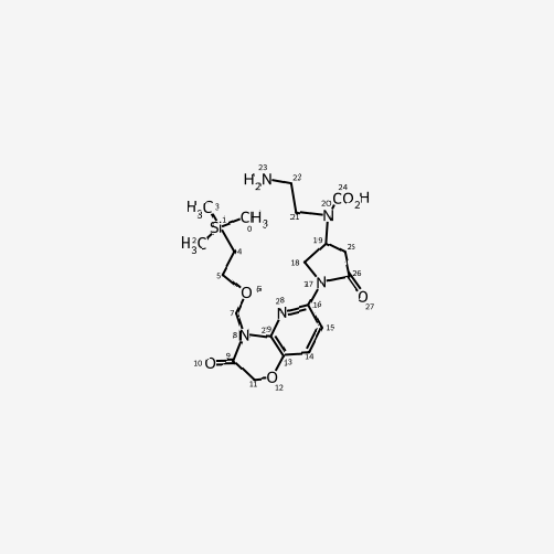 C[Si](C)(C)CCOCN1C(=O)COc2ccc(N3CC(N(CCN)C(=O)O)CC3=O)nc21